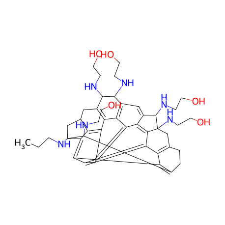 CCCNC12CC3CC4=c5c6c(cc7c8c9c%10c%11c(c%12c1c3c5c(c86)c%12%10)=C(CCC=%11CC9(NCCO)C7NCCO)C2NCCO)C(NCCO)C4NCCO